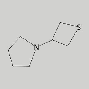 C1CCN(C2CSC2)C1